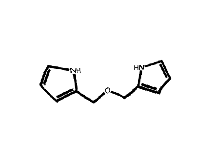 c1c[nH]c(COCc2ccc[nH]2)c1